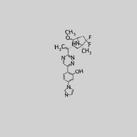 C=C(c1ncc(-c2ccc(-n3ccnc3)cc2O)nn1)[C@H]1C[C@@]2(C)NC(CC2(F)F)[C@@H]1OC